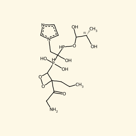 CCCC1(C(=O)CN)OOC1[PH](O)(O)C(O)(Cn1ccnc1)POC(O)[C@H](C)O